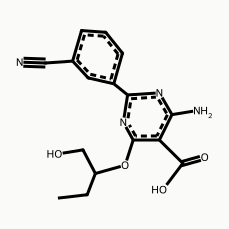 CCC(CO)Oc1nc(-c2cccc(C#N)c2)nc(N)c1C(=O)O